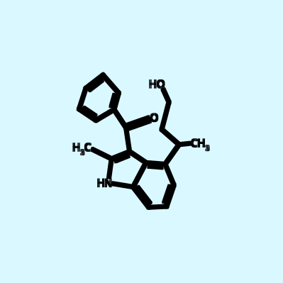 Cc1[nH]c2cccc(C(C)CCO)c2c1C(=O)c1ccccc1